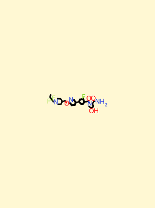 CCC(F)(F)CN1CCC(COc2ccc(-c3ccc(C(=O)N4CC(O)CC4C(N)=O)c(F)c3)cn2)CC1